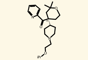 CC(C)OCCN1CCC([C@@]2(C(=O)c3ccccn3)CCOC(C)(C)C2)CC1